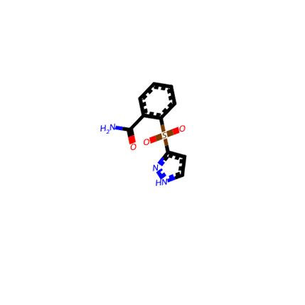 NC(=O)c1ccccc1S(=O)(=O)c1cc[nH]n1